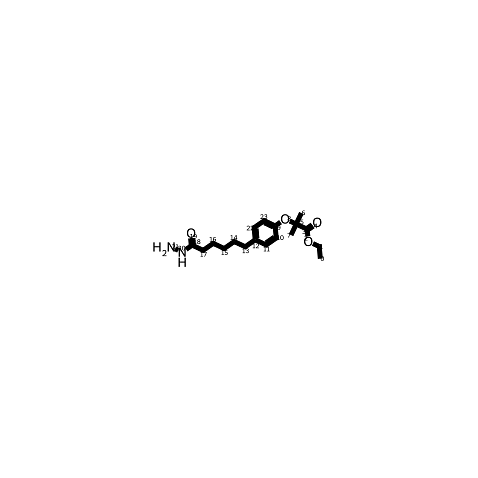 CCOC(=O)C(C)(C)Oc1ccc(CCCCCC(=O)NN)cc1